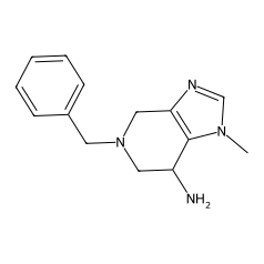 Cn1cnc2c1C(N)CN(Cc1ccccc1)C2